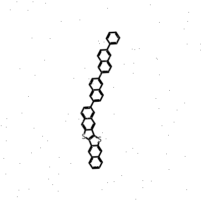 c1ccc(-c2ccc3cc(-c4ccc5cc(-c6ccc7cc8sc9c%10cc%11ccccc%11cc%10sc9c8cc7c6)ccc5c4)ccc3c2)cc1